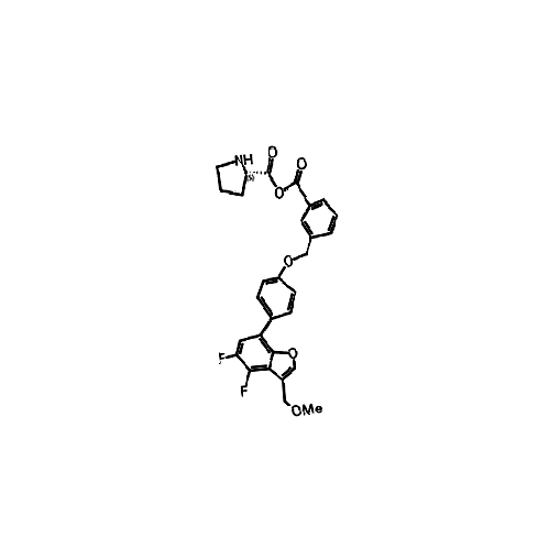 COCc1coc2c(-c3ccc(OCc4cccc(C(=O)OC(=O)[C@@H]5CCCN5)c4)cc3)cc(F)c(F)c12